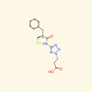 O=C(O)CCn1nnc(NC(=O)[C@@H](CS)Cc2ccccc2)n1